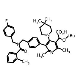 Cc1ccccc1C(=O)N(Cc1ccc(F)cc1)Cc1ccc(-c2c(C)nc(C)c(C(OC(C)(C)C)C(=O)O)c2N2CCC(C)(C)CC2)cc1